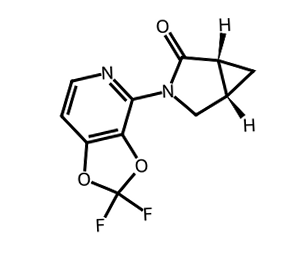 O=C1[C@@H]2C[C@@H]2CN1c1nccc2c1OC(F)(F)O2